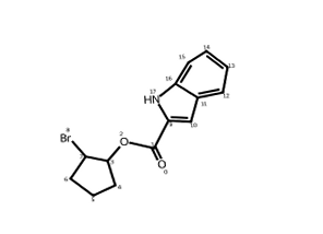 O=C(OC1CCCC1Br)c1cc2ccccc2[nH]1